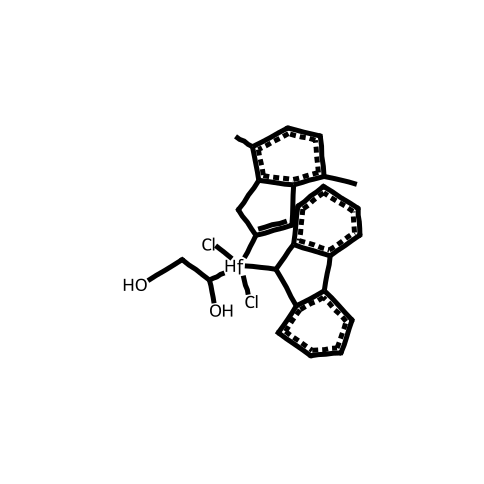 Cc1ccc(C)c2c1C=[C]([Hf]([Cl])([Cl])([CH](O)CO)[CH]1c3ccccc3-c3ccccc31)C2